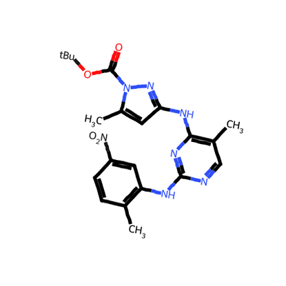 Cc1ccc([N+](=O)[O-])cc1Nc1ncc(C)c(Nc2cc(C)n(C(=O)OC(C)(C)C)n2)n1